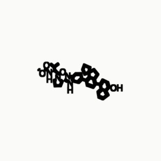 COC(=O)N[C@H](C(=O)N1CCC[C@H]1c1nc2ccc(-c3ccc(-c4ccc(O)c5ccccc45)c4c3C3(CCCC3)CC4)cc2[nH]1)C(C)C